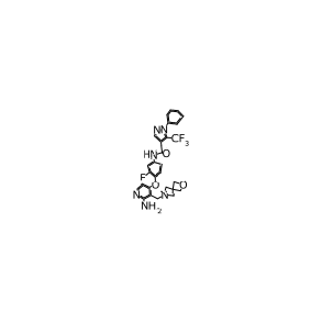 Nc1nccc(Oc2ccc(NC(=O)c3cnn(-c4ccccc4)c3C(F)(F)F)cc2F)c1CN1CC2(COC2)C1